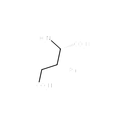 N[C@@H](CCC(=O)O)C(=O)O.[Ru]